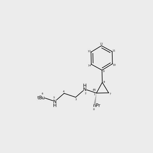 CCC[C@@]1(NCCNC(C)(C)C)CC1c1ccccc1